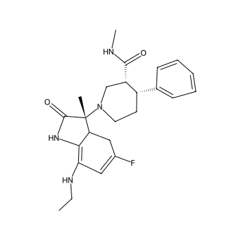 CCNC1=C2NC(=O)[C@](C)(N3CC[C@@H](c4ccccc4)[C@@H](C(=O)NC)C3)C2CC(F)=C1